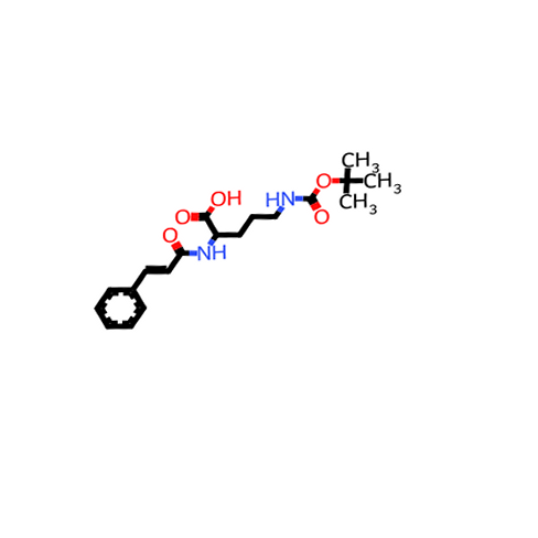 CC(C)(C)OC(=O)NCCCC(NC(=O)C=Cc1ccccc1)C(=O)O